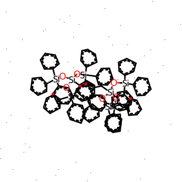 C(=CC[Si](O[Si](c1ccccc1)(c1ccccc1)c1ccccc1)(O[Si](c1ccccc1)(c1ccccc1)c1ccccc1)O[Si](c1ccccc1)(c1ccccc1)c1ccccc1)C[Si](O[Si](c1ccccc1)(c1ccccc1)c1ccccc1)(O[Si](c1ccccc1)(c1ccccc1)c1ccccc1)O[Si](c1ccccc1)(c1ccccc1)c1ccccc1